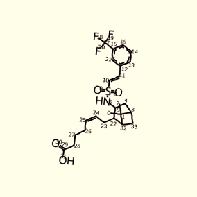 CC1(C)C2CC(NS(=O)(=O)C=Cc3cccc(C(F)(F)F)c3)C(C/C=C\CCCC(=O)O)C1C2